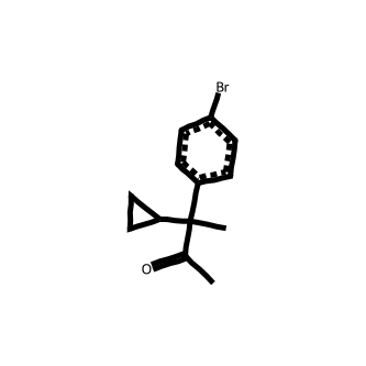 CC(=O)C(C)(c1ccc(Br)cc1)C1CC1